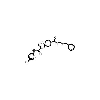 O=C(Nc1ccc(Cl)cn1)C1=NOC2(CCN(C(=S)NCCCc3ccccc3)CC2)C1